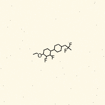 CCOC1CCC(C2CCC(CC(C)(F)F)CC2)C(F)C1F